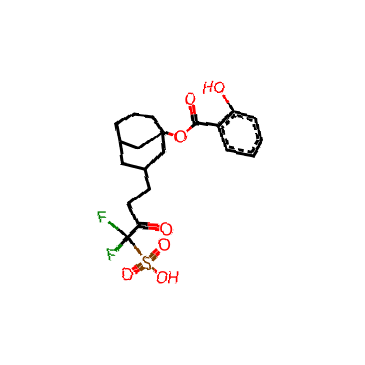 O=C(OC12CCCC(CC(CCC(=O)C(F)(F)S(=O)(=O)O)C1)C2)c1ccccc1O